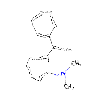 [CH]=C(c1ccccc1)c1ccccc1N(C)C